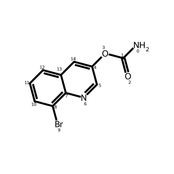 NC(=O)Oc1cnc2c(Br)cccc2c1